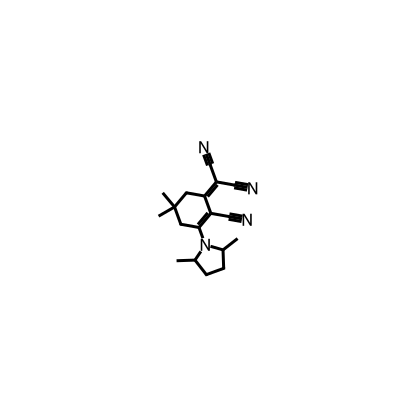 CC1CCC(C)N1C1=C(C#N)C(=C(C#N)C#N)CC(C)(C)C1